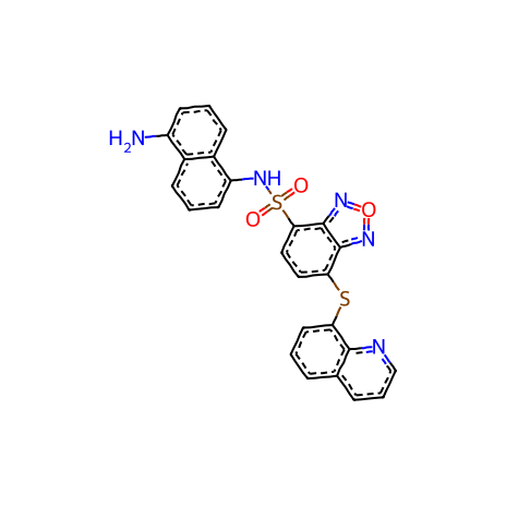 Nc1cccc2c(NS(=O)(=O)c3ccc(Sc4cccc5cccnc45)c4nonc34)cccc12